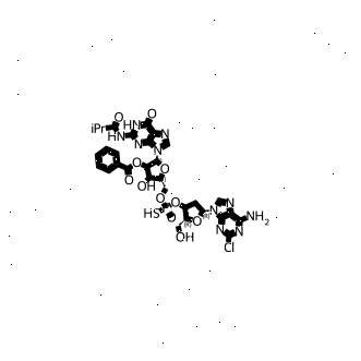 CC(C)C(=O)Nc1nc2c(ncn2[C@@H]2O[C@H](COP(=O)(S)OC3C[C@H](n4cnc5c(N)nc(Cl)nc54)O[C@@H]3CO)C(O)C2OC(=O)c2ccccc2)c(=O)[nH]1